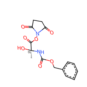 C[C@@](O)(NC(=O)OCc1ccccc1)C(=O)ON1C(=O)CCC1=O